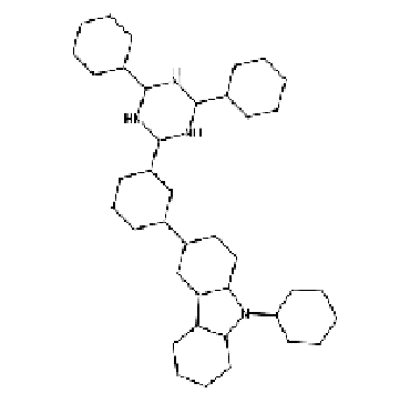 C1CCC(C2NC(C3CCCCC3)NC(C3CCCC(C4CCC5C(C4)C4CCCCC4N5C4CCCCC4)C3)N2)CC1